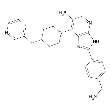 Bc1cnc2[nH]c(-c3ccc(CN)cc3)nc2c1N1CCC(Cc2cccnc2)CC1